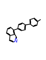 Cc1ccc(-c2ccc(-c3cccc4ccncc34)cc2)cc1